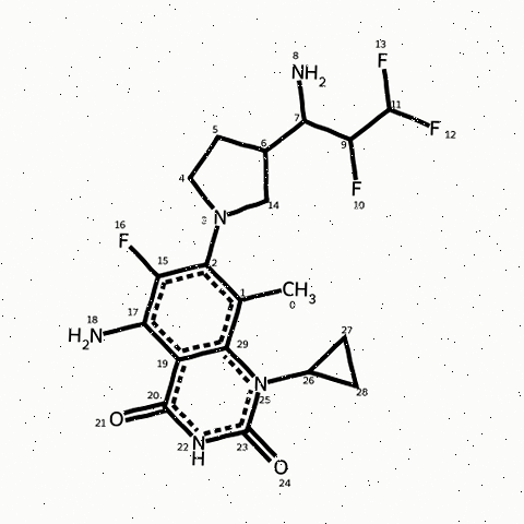 Cc1c(N2CCC(C(N)C(F)C(F)F)C2)c(F)c(N)c2c(=O)[nH]c(=O)n(C3CC3)c12